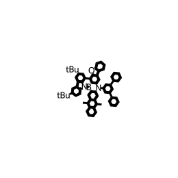 Cc1c2ccccc2c(C)c2cc3c(cc12)B1c2c(cc4c(oc5ccccc54)c2-c2cc(C(C)(C)C)cc4c5cc(C(C)(C)C)ccc5n1c24)N3c1cc(-c2ccccc2)cc(-c2ccccc2)c1